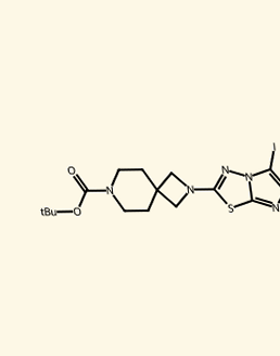 CC(C)(C)OC(=O)N1CCC2(CC1)CN(c1nn3c(I)cnc3s1)C2